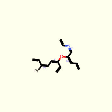 C=C/C=C(\C=N/C=C)O/C(C=C)=C/C=C(\C=C)C(C)C